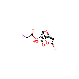 O=C(CI)Oc1c2c3oc1c(C(=O)O)c3C(=O)O2